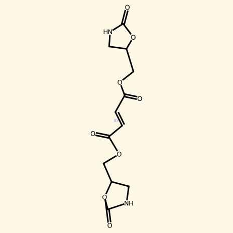 O=C(/C=C/C(=O)OCC1CNC(=O)O1)OCC1CNC(=O)O1